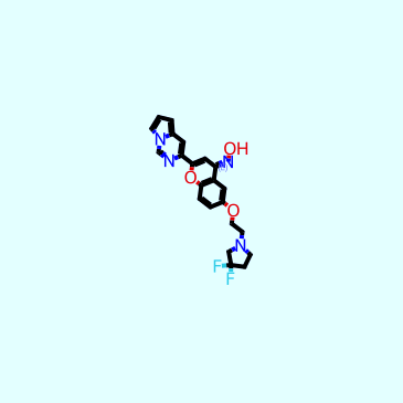 O/N=c1\cc(-c2cc3cccn3cn2)oc2ccc(OCCN3CCC(F)(F)C3)cc12